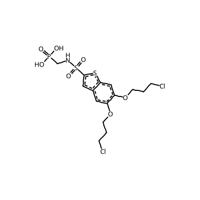 O=P(O)(O)CNS(=O)(=O)c1cc2cc(OCCCCl)c(OCCCCl)cc2s1